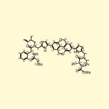 C=C[C@@H](C)CN(Cc1ncc(-c2cc3c4c(c2)OCc2cc(-c5cnc(CN(CC(C)C)C(=O)[C@@H](NC(=O)OC)C(C)C)[nH]5)cc(c2-4)OC3)[nH]1)C(=O)[C@H](NC(=O)OC(C)(C)C)c1ccccc1